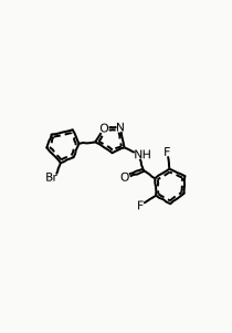 O=C(Nc1cc(-c2cccc(Br)c2)on1)c1c(F)cccc1F